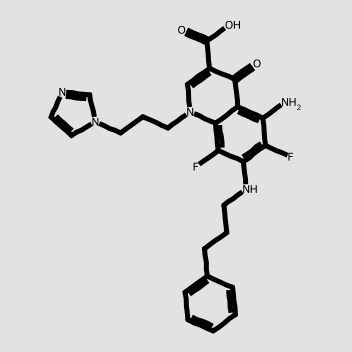 Nc1c(F)c(NCCCc2ccccc2)c(F)c2c1c(=O)c(C(=O)O)cn2CCCn1ccnc1